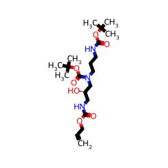 C=CCOC(=O)NC[C@H](O)CN(CCCNC(=O)OC(C)(C)C)C(=O)OC(C)(C)C